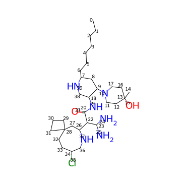 CCCCCCCC1CC(N2CCC(C)(O)CC2)C(NC(=O)C(C(N)N)C2CC3(CCC3)CCC(Cl)CN2)CN1